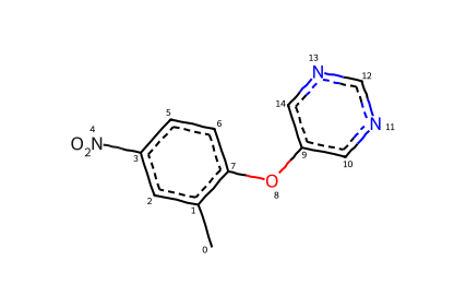 Cc1cc([N+](=O)[O-])ccc1Oc1cncnc1